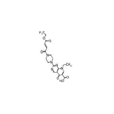 CCOC(=O)C=CC(=O)N1CCN(c2ncc3c(=O)c(C(=O)O)cn(CC)c3n2)CC1